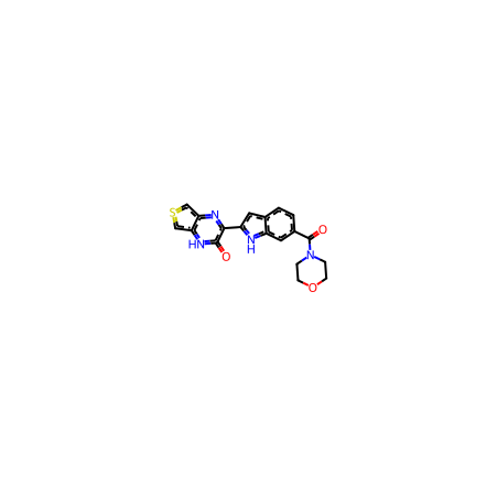 O=C(c1ccc2cc(-c3nc4cscc4[nH]c3=O)[nH]c2c1)N1CCOCC1